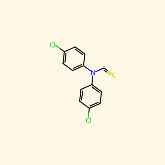 S=[C]N(c1ccc(Cl)cc1)c1ccc(Cl)cc1